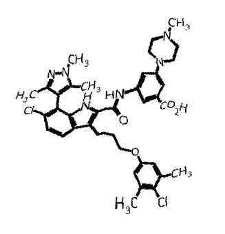 Cc1cc(OCCCc2c(C(=O)Nc3cc(C(=O)O)cc(N4CCN(C)CC4)c3)[nH]c3c(-c4c(C)nn(C)c4C)c(Cl)ccc23)cc(C)c1Cl